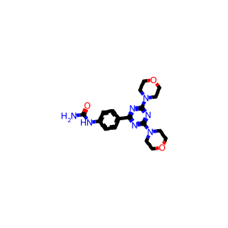 NC(=O)Nc1ccc(-c2nc(N3CCOCC3)nc(N3CCOCC3)n2)cc1